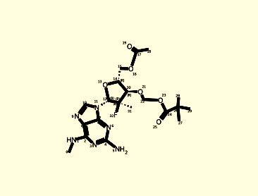 CNc1nc(N)nc2c1ncn2[C@@H]1O[C@H](COC(C)=O)[C@@H](OCOC(=O)C(C)(C)C)[C@@]1(C)F